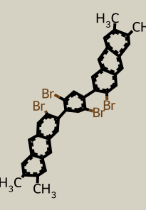 Cc1cc2cc3cc(Br)c(-c4cc(Br)c(-c5cc6cc7cc(C)c(C)cc7cc6cc5Br)cc4Br)cc3cc2cc1C